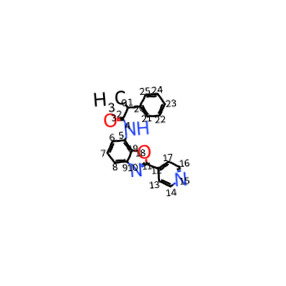 CC(C(=O)Nc1cccc2nc(-c3ccncc3)oc12)c1ccccc1